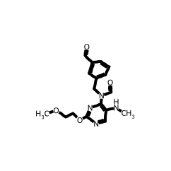 CNc1cnc(OCCOC)nc1N(C=O)Cc1cccc(C=O)c1